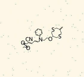 C=C1CSCC(OCCN(/C=C/C=C(\C#N)S(C)(=O)=O)c2ccccc2)CSC1